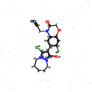 C#CCN1C(=O)COc2cc(F)c(-c3c(Cl)n4n(c3=O)CCCCC4)cc21